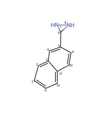 c1ccc2cc(C3NN3)ccc2c1